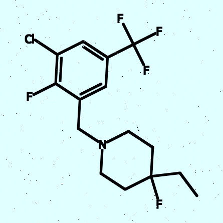 CCC1(F)CCN(Cc2cc(C(F)(F)F)cc(Cl)c2F)CC1